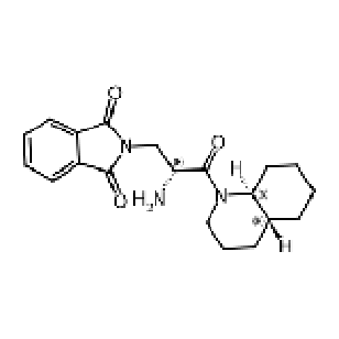 N[C@H](CN1C(=O)c2ccccc2C1=O)C(=O)N1CCC[C@H]2CCCC[C@@H]21